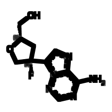 Nc1ncnn2c([C@@]3(F)CO[C@H](CO)C3)cnc12